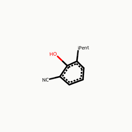 CCCC(C)c1cccc(C#N)c1O